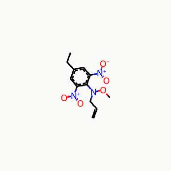 C=CCN(OC)c1c([N+](=O)[O-])cc(CC)cc1[N+](=O)[O-]